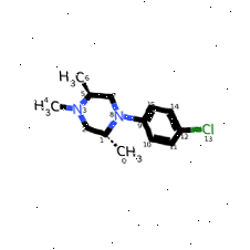 C[C@@H]1CN(C)[C@@H](C)CN1c1ccc(Cl)cc1